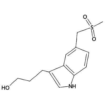 CS(=O)(=O)Cc1ccc2[nH]cc(CCCO)c2c1